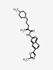 C=C(CCCN1CCN(C)CC1)C(=O)Nc1cc2cc(-c3cnc(C)o3)ccc2cn1